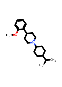 COc1ccccc1C1CCN(C2CCC(C(C)C)CC2)CC1